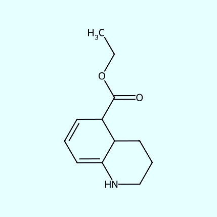 CCOC(=O)C1C=CC=C2NCCCC21